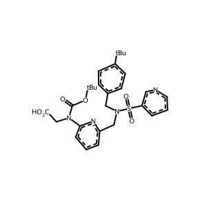 CC(C)(C)OC(=O)N(CC(=O)O)c1cccc(CN(Cc2ccc(C(C)(C)C)cc2)S(=O)(=O)c2cccnc2)n1